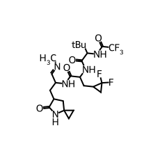 C/N=C/C(CC1CC2(CC2)NC1=O)NC(=O)C(CC1CC1(F)F)NC(=O)C(NC(=O)C(F)(F)F)C(C)(C)C